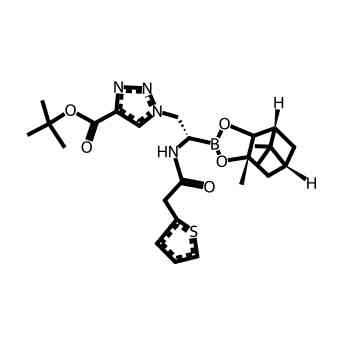 CC(C)(C)OC(=O)c1cn(C[C@@H](NC(=O)Cc2cccs2)B2OC3[C@@H]4C[C@H](C[C@]3(C)O2)C4(C)C)nn1